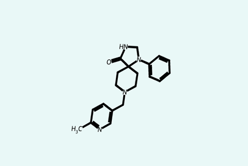 Cc1ccc(CN2CCC3(CC2)C(=O)NCN3c2ccccc2)cn1